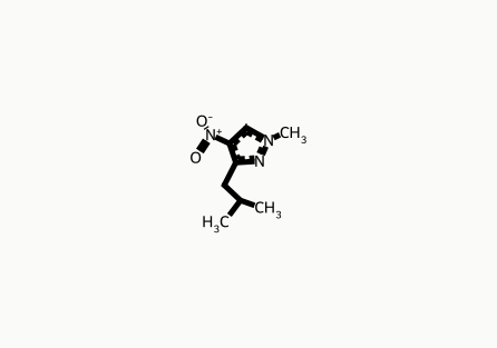 CC(C)Cc1nn(C)[c]c1[N+](=O)[O-]